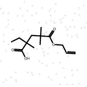 C=CCOC(=O)C(C)(C)CC(C)(CC)C(=O)O